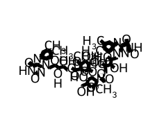 COC1C(C(=O)OCC(O)C(O)C(O)Cn2c3nc(=O)[nH]c(=O)c-3nc3cc(C)c(C)cc32)OC(OC2C(O)C(CO)O[C@H](C)C2N(C=O)OCC(O)C(O)C(O)Cn2c3nc(=O)[nH]c(=O)c-3nc3cc(C)c(C)cc32)C(O)C1O